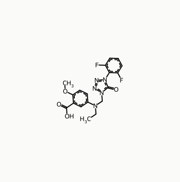 CCN(Cn1nnn(-c2c(F)cccc2F)c1=O)c1ccc(OC)c(C(=O)O)c1